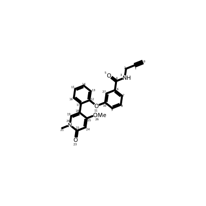 C#CCNC(=O)c1cccc(Oc2ccccc2-c2cn(C)c(=O)cc2OC)c1